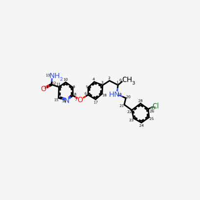 CC(Cc1ccc(Oc2ccc(C(N)=O)cn2)cc1)NCCc1cccc(Cl)c1